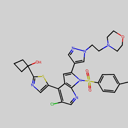 Cc1ccc(S(=O)(=O)n2c(-c3cnn(CCN4CCOCC4)c3)cc3c(-c4cnc(C5(O)CCC5)s4)c(Cl)cnc32)cc1